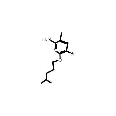 Cc1cc(Br)c(OCCCC(C)C)nc1N